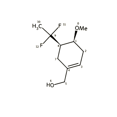 CO[C@H]1CC=C(CO)C[C@H]1C(C)(F)F